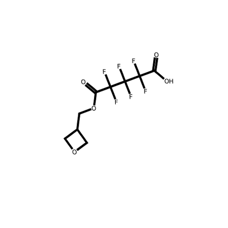 O=C(O)C(F)(F)C(F)(F)C(F)(F)C(=O)OCC1COC1